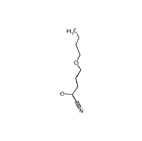 CCCCOCCCC([O])C#N